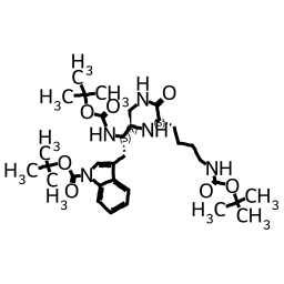 CC(C)(C)OC(=O)NCCCC[C@@H]1N[C@@H]([C@H](Cc2cn(C(=O)OC(C)(C)C)c3ccccc23)NC(=O)OC(C)(C)C)CNC1=O